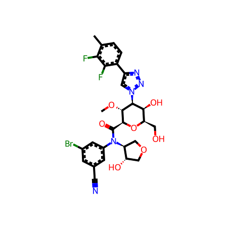 CO[C@@H]1[C@@H](n2cc(-c3ccc(C)c(F)c3F)nn2)[C@@H](O)[C@@H](CO)O[C@H]1C(=O)N(c1cc(Br)cc(C#N)c1)[C@H]1COC[C@@H]1O